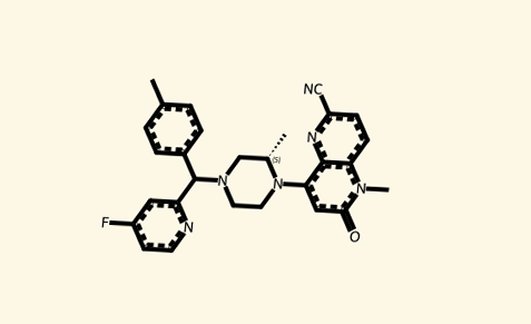 Cc1ccc(C(c2cc(F)ccn2)N2CCN(c3cc(=O)n(C)c4ccc(C#N)nc34)[C@@H](C)C2)cc1